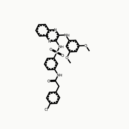 COc1cc(Nc2nc3ccccc3nc2NS(=O)(=O)c2cccc(NC(=O)Cc3ccc(Cl)cc3)c2)cc(OC)c1